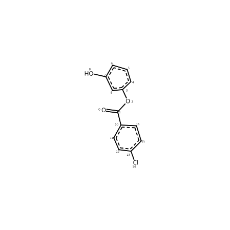 O=C(Oc1cccc(O)c1)c1ccc(Cl)cc1